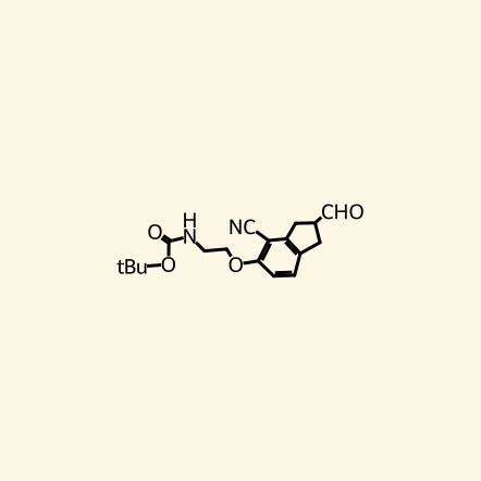 CC(C)(C)OC(=O)NCCOc1ccc2c(c1C#N)CC(C=O)C2